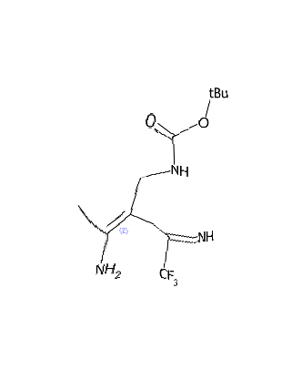 C/C(N)=C(\CNC(=O)OC(C)(C)C)C(=N)C(F)(F)F